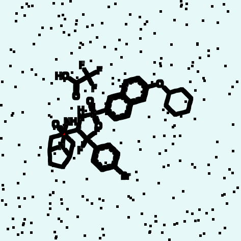 NC1CC2CCC(C1)N2C(=O)C(NS(=O)(=O)c1ccc2cc(OC3CCCCC3)ccc2c1)C(F)(F)c1ccc(Br)cc1.O=C(O)C(F)(F)F